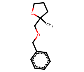 CC1(COCc2ccccc2)CCCO1